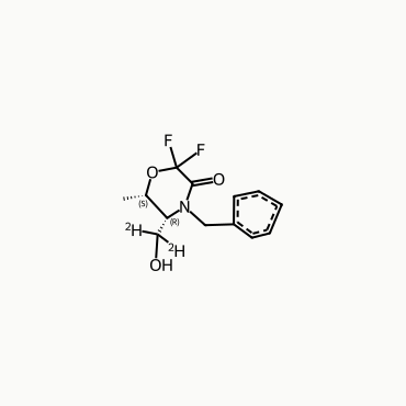 [2H]C([2H])(O)[C@@H]1[C@H](C)OC(F)(F)C(=O)N1Cc1ccccc1